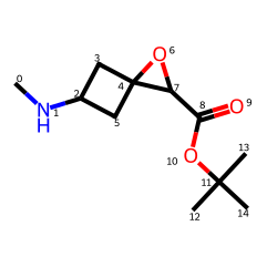 CNC1CC2(C1)OC2C(=O)OC(C)(C)C